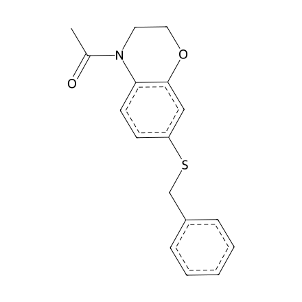 CC(=O)N1CCOc2cc(SCc3ccccc3)ccc21